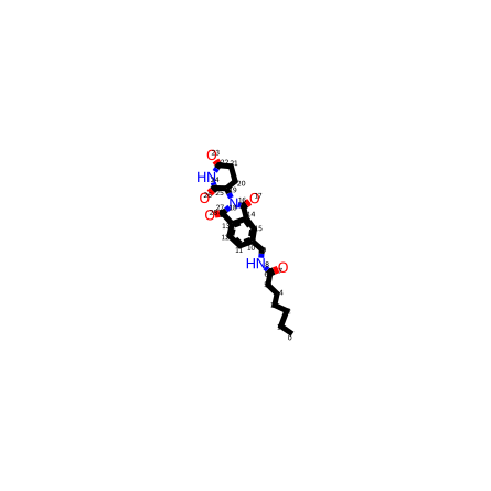 CCCCCCC(=O)NCc1ccc2c(c1)C(=O)N(C1CCC(=O)NC1=O)C2=O